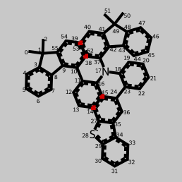 CC1(C)c2ccccc2-c2c(-c3ccccc3N(c3ccccc3-c3ccc4sc5ccccc5c4c3)c3cccc4c3-c3ccccc3C4(C)C)cccc21